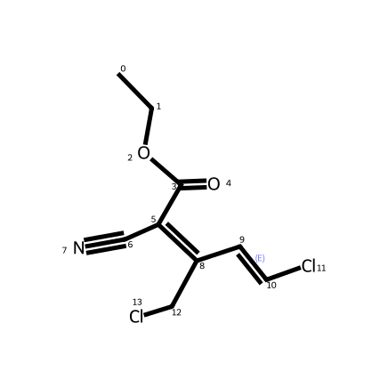 CCOC(=O)C(C#N)=C(/C=C/Cl)CCl